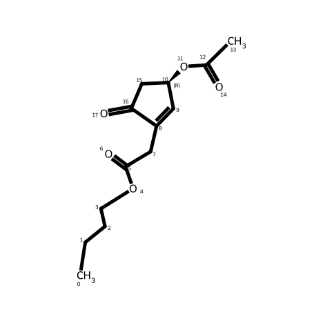 CCCCOC(=O)CC1=C[C@H](OC(C)=O)CC1=O